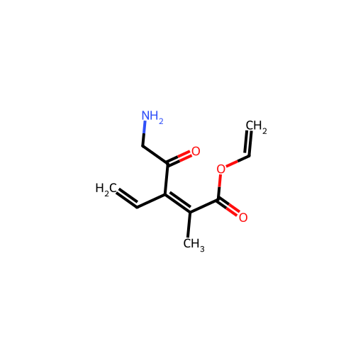 C=COC(=O)C(C)=C(C=C)C(=O)CN